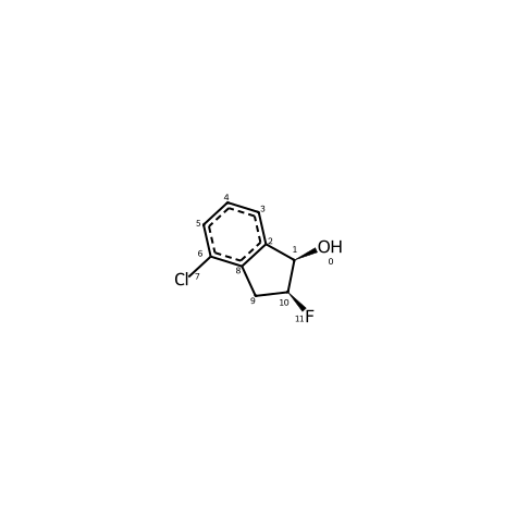 O[C@@H]1c2cccc(Cl)c2C[C@@H]1F